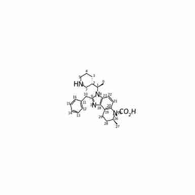 C[C@H]([C@H]1CCCNC1)n1c(Cc2ccccc2)nc2c3c(ccc21)N(C(=O)O)[C@@H](C)CC3